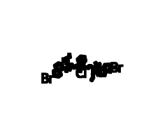 CCCN1/C(=C/C=C2C(Cl)=C(/C=C/C3=[N+](CCC)c4ccc5cc(Br)ccc5c4C3(C)C)c3ccccc3/2)C(C)(C)c2c1ccc1cc(Br)ccc21